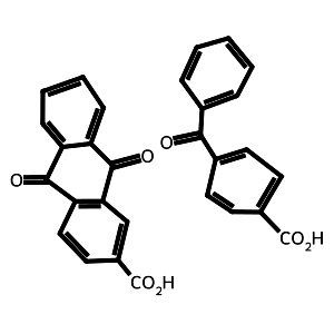 O=C(O)c1ccc(C(=O)c2ccccc2)cc1.O=C(O)c1ccc2c(c1)C(=O)c1ccccc1C2=O